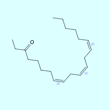 CCCCC/C=C\C/C=C\C/C=C\CCCCC(=O)CC